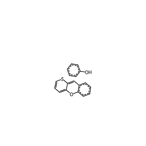 C1=CSC2=Cc3ccccc3OC2=C1.Oc1ccccc1